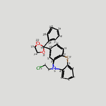 ClCCN1c2ccccc2Sc2ccc(C3(c4ccccc4)OCCO3)cc21